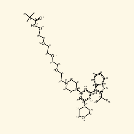 CC(C)(C)C(=O)NOCCOCCOCCOCCN1CCN(c2nc(N3CCOCC3)nc(-n3c(C(F)F)nc4ccccc43)n2)CC1